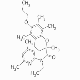 CCCOc1c(C)c(C)c2c(c1C)CCC(C)(C(=O)N(CC)c1cc(C)cc(C)n1)O2